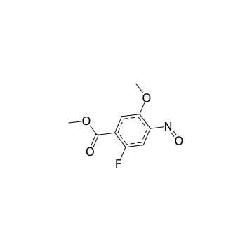 COC(=O)c1cc(OC)c(N=O)cc1F